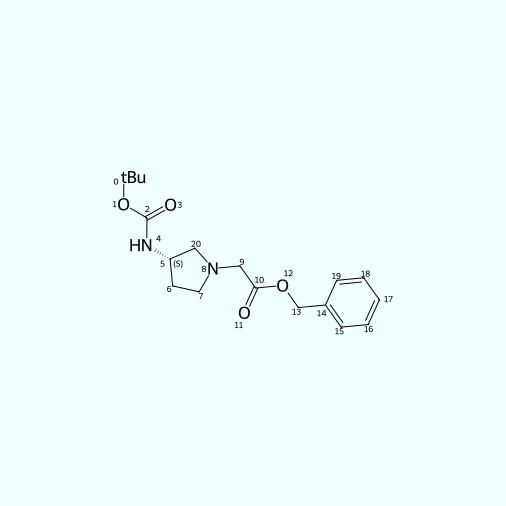 CC(C)(C)OC(=O)N[C@H]1CCN(CC(=O)OCc2ccccc2)C1